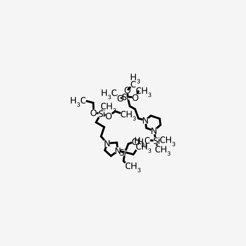 CCO[Si](C)(CCCN1CCN([Si](CC)(CC)CC)C1)OCC.CO[Si](CCCN1CCCN([Si](C)(C)C)C1)(OC)OC